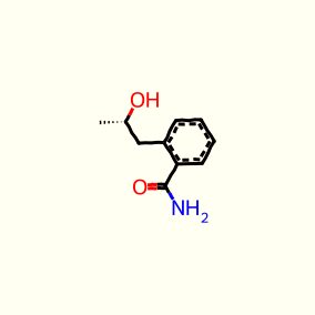 C[C@H](O)Cc1ccccc1C(N)=O